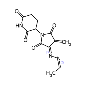 C=C1C(=O)N(C2CCC(=O)NC2=O)C(=O)/C1=N/N=C\C